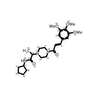 COc1cc(/C=C/C(=O)N2CCN(C(C)C(=O)NC3CCCC3)CC2)cc(OC)c1OC